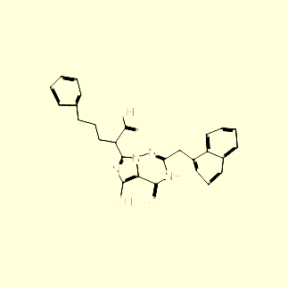 CC(=O)C(CCCc1ccccc1)c1nc(C)c2c(=O)[nH]c(Cc3cccc4ccccc34)nn12